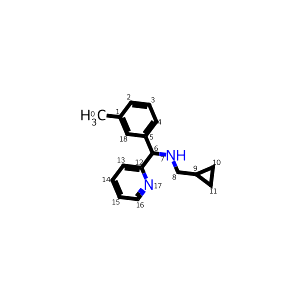 Cc1cccc(C(NCC2CC2)c2ccccn2)c1